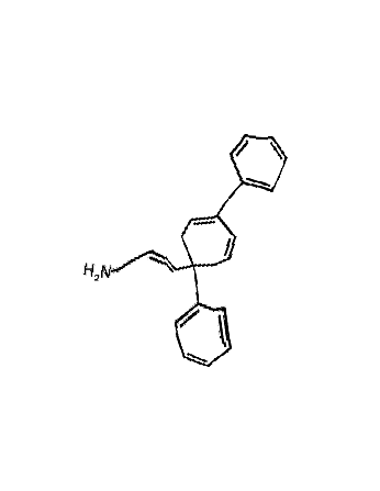 NC=CC1(c2ccccc2)C=CC(c2ccccc2)=CC1